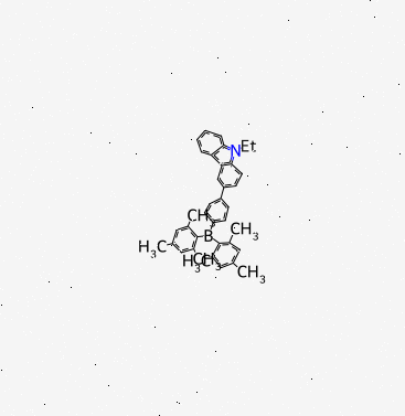 CCn1c2ccccc2c2cc(-c3ccc(B(c4c(C)cc(C)cc4C)c4c(C)cc(C)cc4C)cc3)ccc21